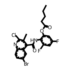 CCCCC(=O)Oc1cc(F)cc(F)c1NC(=O)c1c(C)c(Cl)nc2ccc(Br)cc12